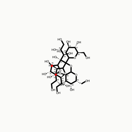 OC[C@@H](O)[C@@H]1OC(C(OC2O[C@H](CO)[C@H](O)[C@H](O)[C@H]2O)(C2O[C@H](CO)[C@@H](O)[C@H](O)[C@H]2O)[C@@](O)(C2O[C@@H]([C@H](O)CO)[C@H](O)[C@H]2O)[C@H](O)[C@H](O)CO)[C@H](O)[C@H]1O